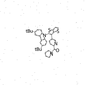 CC(C)(C)c1ccc2c(c1)c1cc(C(C)(C)C)ccc1n2-c1sc2ccsc2c1-c1ccc(C(=O)c2ccccn2)nc1